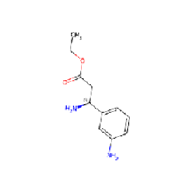 CCOC(=O)C[C@H](N)c1cccc(N)c1